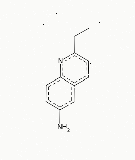 CCc1ccc2cc(N)ccc2n1